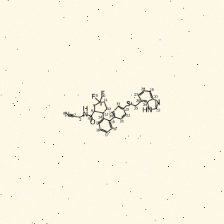 N#CCNC(=O)C1CC(F)(F)CCC1c1ccccc1-c1ccc(SCc2cccc3nc[nH]c23)cc1